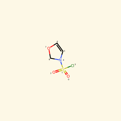 O=S(=O)(Cl)N1C=COC1